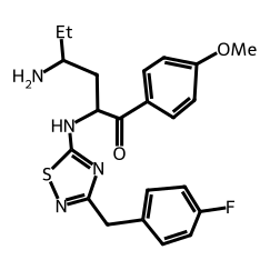 CCC(N)CC(Nc1nc(Cc2ccc(F)cc2)ns1)C(=O)c1ccc(OC)cc1